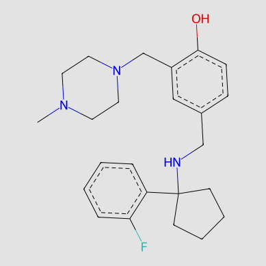 CN1CCN(Cc2cc(CNC3(c4ccccc4F)CCCC3)ccc2O)CC1